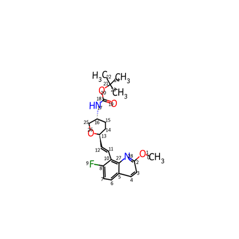 COc1ccc2ccc(F)c(/C=C/[C@@H]3CC[C@@H](NC(=O)OC(C)(C)C)CO3)c2n1